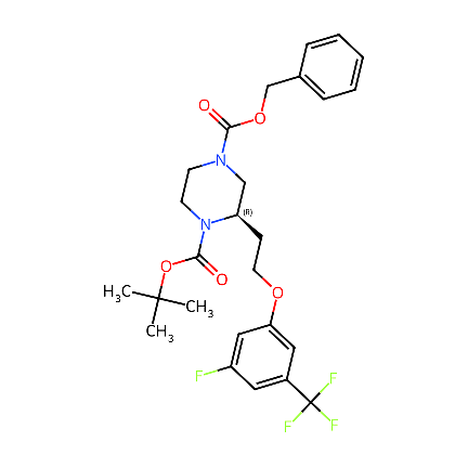 CC(C)(C)OC(=O)N1CCN(C(=O)OCc2ccccc2)C[C@H]1CCOc1cc(F)cc(C(F)(F)F)c1